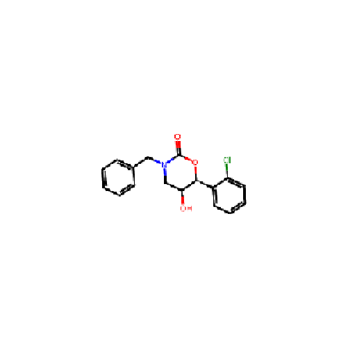 O=C1O[C@@H](c2ccccc2Cl)[C@@H](O)CN1Cc1ccccc1